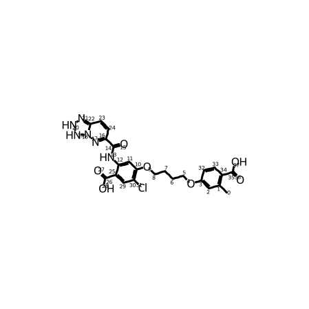 Cc1cc(OCCCCOc2cc(NC(=O)C3=NN4NNN=C4C=C3)c(C(=O)O)cc2Cl)ccc1C(=O)O